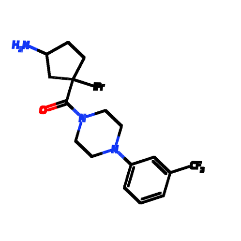 CC(C)C1(C(=O)N2CCN(c3cccc(C(F)(F)F)c3)CC2)CCC(N)C1